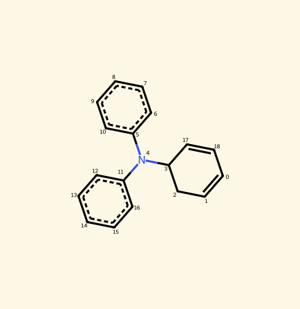 C1=CCC(N(c2ccccc2)c2ccccc2)C=C1